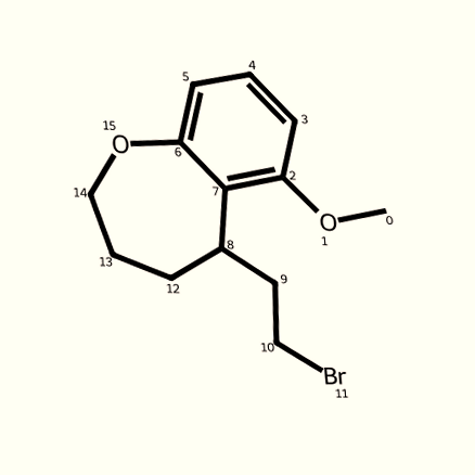 COc1cccc2c1C(CCBr)CCCO2